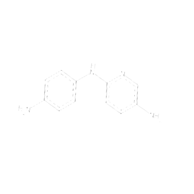 Nc1ccc(Nc2ccc(N)cn2)cc1